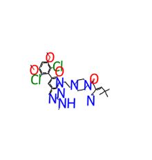 CNc1ncc2cc(-c3c(Cl)c(OC)cc(OC)c3Cl)c(=O)n(CCN3CCN(C(=O)C(C#N)=CC(C)(C)C)CC3)c2n1